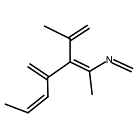 C=N/C(C)=C(\C(=C)C)C(=C)/C=C\C